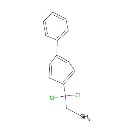 [SiH3]CC(Cl)(Cl)c1ccc(-c2ccccc2)cc1